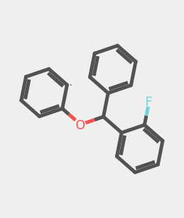 Fc1ccccc1C(Oc1[c]cccc1)c1ccccc1